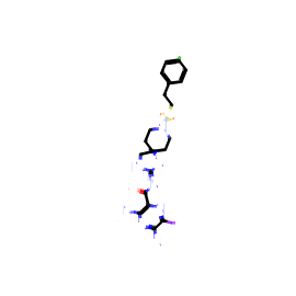 Nc1nc(N)c(C(=O)/N=C2\NCC3(CCN(S(=O)(=O)CCc4ccc(Cl)cc4)CC3)N2)nc1I